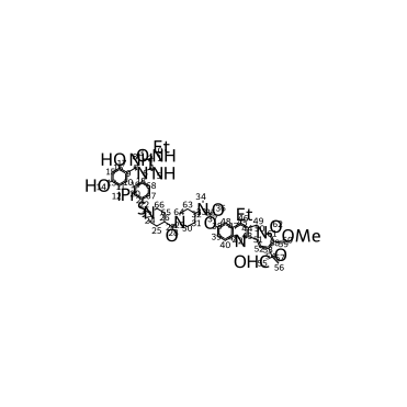 CCNC(=O)C(=N)N(C(=N)c1cc(C(C)C)c(O)cc1O)c1ccc(SN2CCC(C(=O)N3CCC(N(C)C(=O)Oc4ccc5nc6c(c(CC)c5c4)Cn4c-6cc(C5(C=O)CO5)c(COC)c4=O)CC3)CC2)cc1